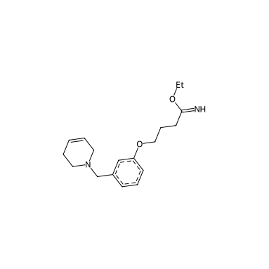 CCOC(=N)CCCOc1cccc(CN2CC=CCC2)c1